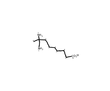 CC(N)(N)CCCCCCC(=O)O